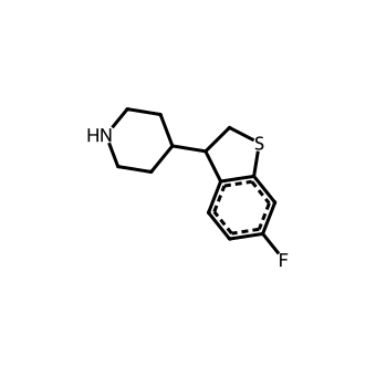 Fc1ccc2c(c1)SCC2C1CCNCC1